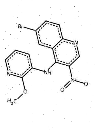 COc1ncccc1Nc1c([N+](=O)[O-])cnc2ccc(Br)cc12